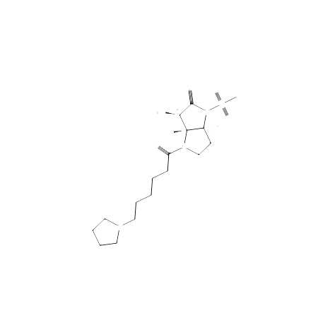 CCC[C@H]1C(=O)N(S(C)(=O)=O)[C@H]2CCN(C(=O)CCCCCN3CCCC3)[C@H]12